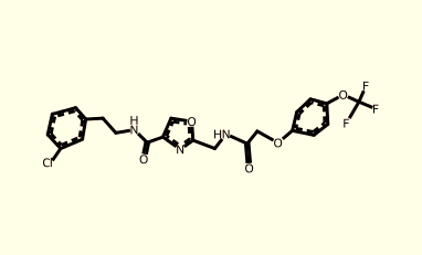 O=C(COc1ccc(OC(F)(F)F)cc1)NCc1nc(C(=O)NCCc2cccc(Cl)c2)co1